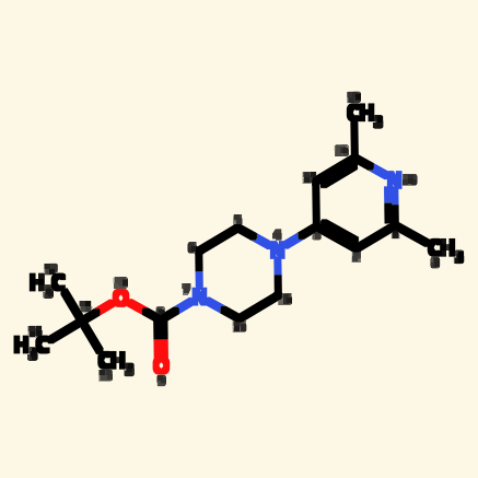 Cc1cc(N2CCN(C(=O)OC(C)(C)C)CC2)cc(C)n1